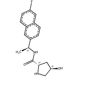 C[C@H](NC(=O)[C@@H]1C[C@@H](O)CN1)c1ccc2cc(F)ccc2c1